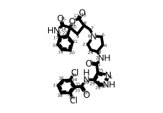 O=C(NC1CCN(CC2CC3(OC2=O)C(=O)Nc2ccccc23)CC1)c1n[nH]cc1NC(=O)c1c(Cl)cccc1Cl